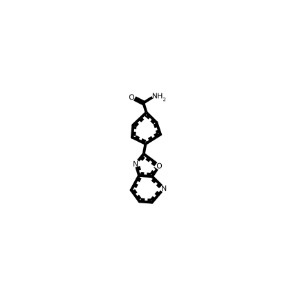 NC(=O)c1ccc(-c2nc3cccnc3o2)cc1